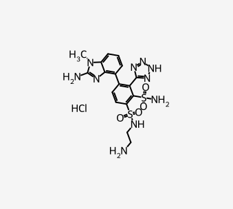 Cl.Cn1c(N)nc2c(-c3ccc(S(=O)(=O)NCCN)c(S(N)(=O)=O)c3-c3nn[nH]n3)cccc21